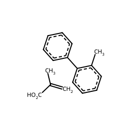 C=C(C)C(=O)O.Cc1ccccc1-c1ccccc1